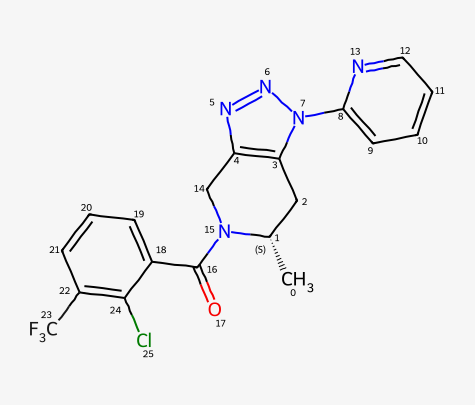 C[C@H]1Cc2c(nnn2-c2ccccn2)CN1C(=O)c1cccc(C(F)(F)F)c1Cl